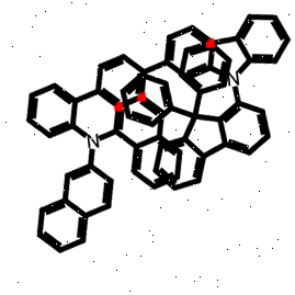 c1ccc(C2(c3ccccc3)c3ccccc3-c3cccc(-n4c5ccccc5c5ccc(-c6ccc(-c7ccccc7N(c7ccc8ccccc8c7)c7cccc8ccccc78)cc6)cc54)c32)cc1